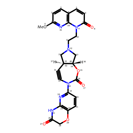 COc1ccc2ccc(=O)n(CCN3C[C@@H]4OC(=O)N(c5ccc6c(n5)NC(=O)CO6)C#C[C@H]4C3)c2n1